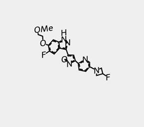 COCCOc1cc2[nH]nc(-c3cc(-c4ccc(N5CC(F)C5)cn4)no3)c2cc1F